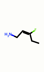 CC/C(F)=C\CN